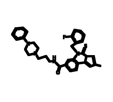 CC1=CC2C(=S)N(Cc3ccccc3F)c3cc(C(=O)NCCCN4CCN(c5ccccc5)CC4)ccc3C2=C1